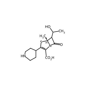 CC(O)C1C(=O)N2C(C(=O)O)=C(C3CCNCC3)S[C@]12C